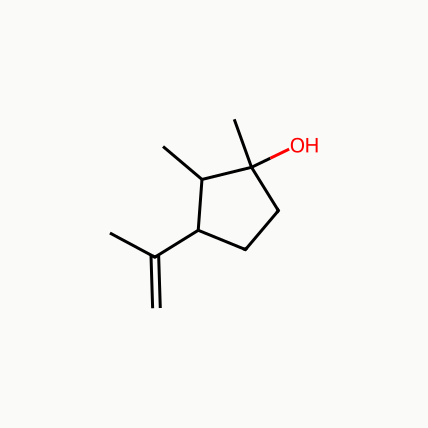 C=C(C)C1CCC(C)(O)C1C